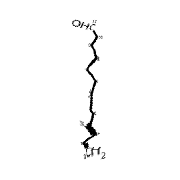 C=CC=CCCCCCCCC=O